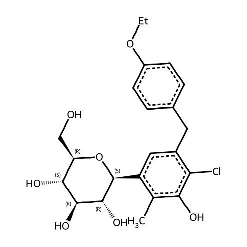 CCOc1ccc(Cc2cc([C@@H]3O[C@H](CO)[C@@H](O)[C@H](O)[C@H]3O)c(C)c(O)c2Cl)cc1